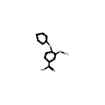 COc1cc(C(=O)O)ccc1Oc1ccccc1